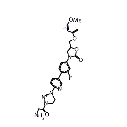 C=C(/C=C\OC)OCC1CN(c2ccc(-c3ccc(N4C=NN(C(=O)CN)CC4)nc3)c(F)c2)C(=O)O1